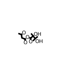 CC(=O)CC(=O)OC(=O)C(C)(O)C(C)(C)O